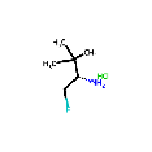 CC(C)(C)[C@H](N)CF.Cl